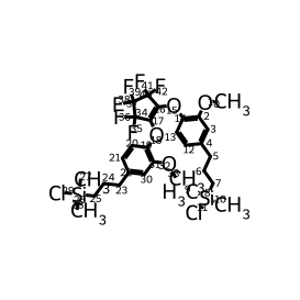 COc1cc(CCC[Si](C)(C)Cl)ccc1OC1=C(Oc2ccc(CCC[Si](C)(C)Cl)cc2OC)C(F)(F)C(F)(F)C1(F)F